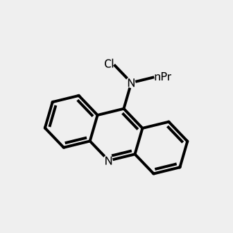 CCCN(Cl)c1c2ccccc2nc2ccccc12